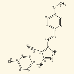 COc1ccc(/C=N/c2[nH]nc(Nc3ccc(Cl)cc3)c2C#N)cc1